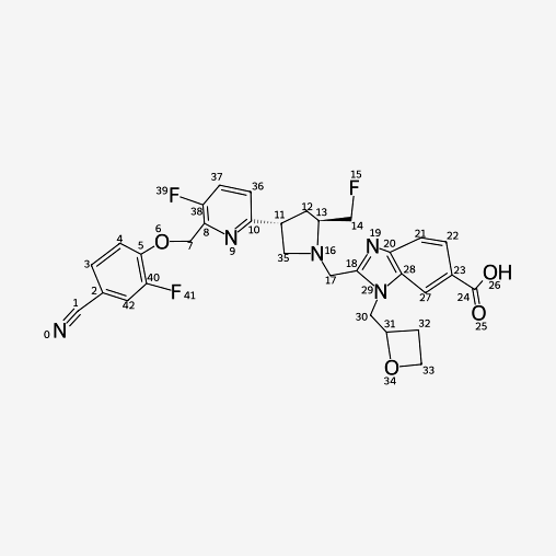 N#Cc1ccc(OCc2nc([C@@H]3C[C@@H](CF)N(Cc4nc5ccc(C(=O)O)cc5n4CC4CCO4)C3)ccc2F)c(F)c1